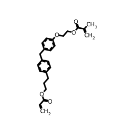 C=CC(=O)OCCCc1ccc(Cc2ccc(OCCOC(=O)C(=C)C)cc2)cc1